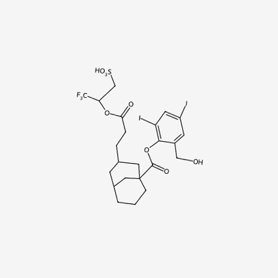 O=C(CCC1CC2CCCC(C(=O)Oc3c(I)cc(I)cc3CO)(C2)C1)OC(CS(=O)(=O)O)C(F)(F)F